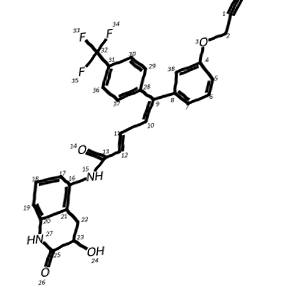 N#CCOc1cccc(/C(=C/C=C/C(=O)Nc2cccc3c2CC(O)C(=O)N3)c2ccc(C(F)(F)F)cc2)c1